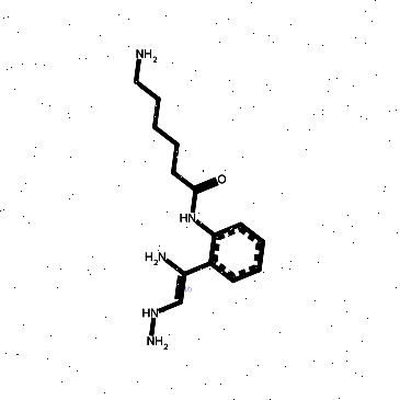 NCCCCCC(=O)Nc1ccccc1/C(N)=C/NN